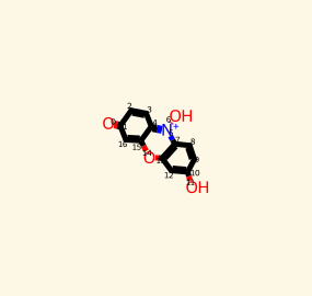 O=c1ccc2[n+](O)c3ccc(O)cc3oc-2c1